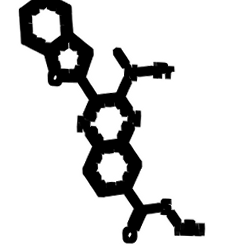 CCCCSC(=O)c1ccc2nc(-c3cc4ccccc4o3)c(N(C)C(C)C)nc2c1